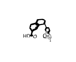 Cn1cc(C2=CCCc3ccc(C(=O)O)cc32)ccc1=O